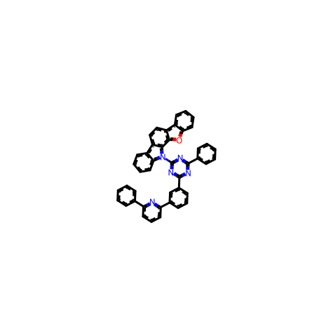 c1ccc(-c2cccc(-c3cccc(-c4nc(-c5ccccc5)nc(-n5c6ccccc6c6ccc7c8ccccc8oc7c65)n4)c3)n2)cc1